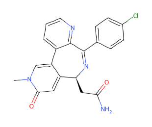 Cn1cc2c(cc1=O)[C@H](CC(N)=O)N=C(c1ccc(Cl)cc1)c1ncccc1-2